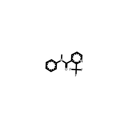 CN(C(=O)c1cccnc1C(F)(F)F)c1ccccc1